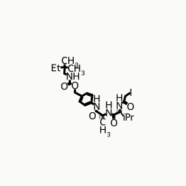 CCC(C)(C)CNC(=O)OCc1ccc(NC(=O)[C@H](C)NC(=O)[C@@H](NC(=O)CI)C(C)C)cc1